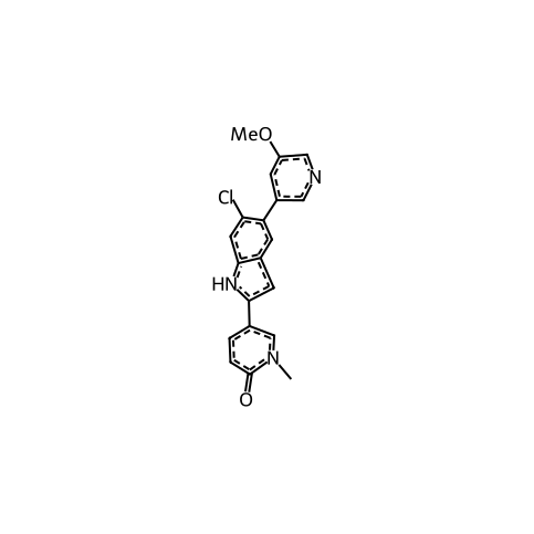 COc1cncc(-c2cc3cc(-c4ccc(=O)n(C)c4)[nH]c3cc2Cl)c1